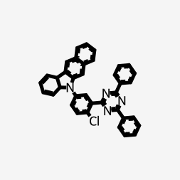 Clc1ccc(N2c3cc4ccccc4cc3C3C=CC=CC32)cc1-c1nc(-c2ccccc2)nc(-c2ccccc2)n1